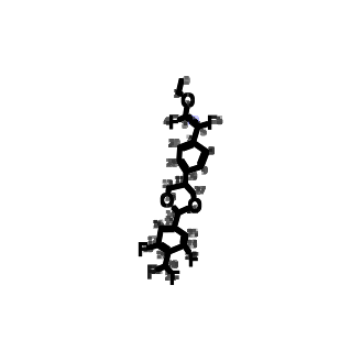 CCO/C(F)=C(\F)c1ccc(C2COC(c3cc(F)c(C(F)F)c(F)c3)OC2)cc1